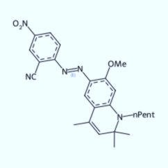 CCCCCN1c2cc(OC)c(/N=N/c3ccc([N+](=O)[O-])cc3C#N)cc2C(C)=CC1(C)C